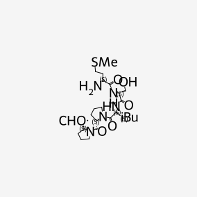 CC[C@H](C)[C@H](NC(=O)[C@H](CO)NC(=O)[C@@H](N)CCSC)C(=O)N1CCC[C@H]1C(=O)N1CCC[C@H]1[C]=O